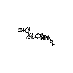 FC1CC(CNCc2cc3ccc(Cn4cnc(-c5cncc(-n6cccc6)c5)n4)cc3[nH]2)C1